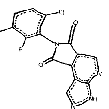 Cc1ccc(Cl)c(N2C(=O)c3cnc4[nH]ncc4c3C2=O)c1F